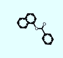 [O]C(Oc1cccc2ccccc12)c1ccccc1